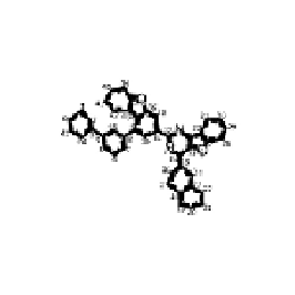 c1ccc(-c2cccc(-c3cc(-c4nc(-c5ccc6ccccc6c5)c5oc6ccccc6c5n4)cc4oc5ccccc5c34)c2)cc1